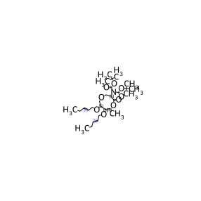 CC/C=C/CO[C@H]1[C@H](C)OC(=O)[C@@H](N(C(=O)OC(C)(C)C)C(=O)OC(C)(C)C)COC[C@@H]1OC/C=C/CC